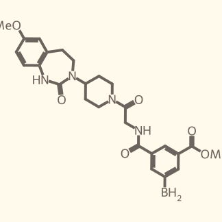 Bc1cc(C(=O)NCC(=O)N2CCC(N3CCc4cc(OC)ccc4NC3=O)CC2)cc(C(=O)OC)c1